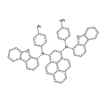 CCCc1ccc(N(c2cc(N(c3ccc(C(C)C)cc3)c3cccc4c3oc3ccccc34)c3ccc4cccc5ccc2c3c54)c2cccc3c2oc2ccccc23)cc1